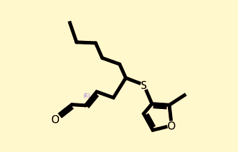 CCCCCC(C/C=C/C=O)Sc1ccoc1C